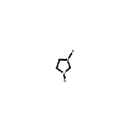 CCN1CC[S+]([O-])C1